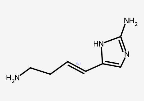 NCC/C=C/c1cnc(N)[nH]1